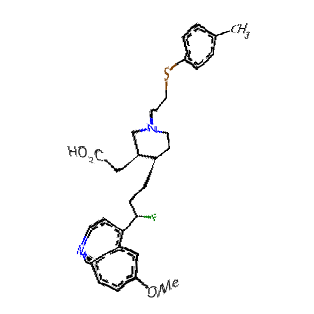 COc1ccc2nccc([C@H](F)CC[C@@H]3CCN(CCSc4ccc(C)cc4)C[C@@H]3CC(=O)O)c2c1